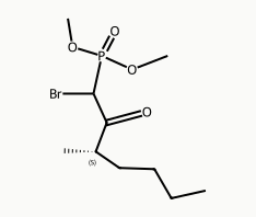 CCCC[C@H](C)C(=O)C(Br)P(=O)(OC)OC